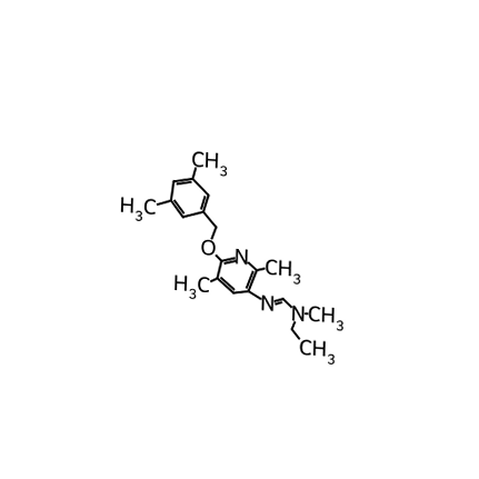 CCN(C)/C=N/c1cc(C)c(OCc2cc(C)cc(C)c2)nc1C